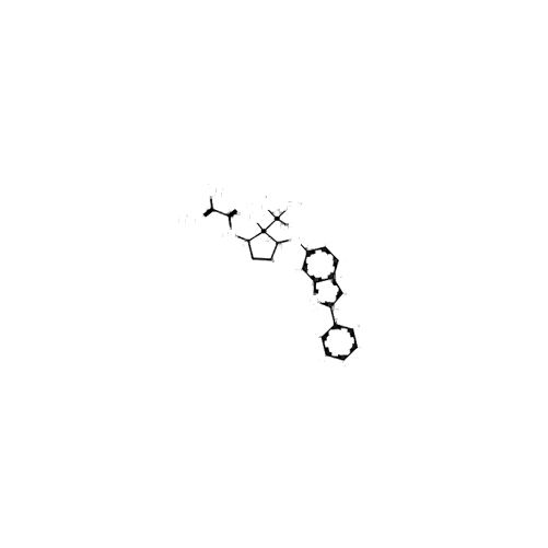 C=C(C)C(=O)OC1CCC(Oc2ccc3cc(-c4ccccc4)oc3c2)C1(C)C(F)(F)F